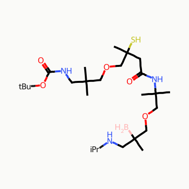 BC(C)(CNC(C)C)COCC(C)(C)NC(=O)CC(C)(S)COCC(C)(C)CNC(=O)OC(C)(C)C